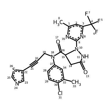 Cc1cc(C(F)(F)F)nc(N2NC(=O)CC2C(=O)N(CC#Cc2cncs2)c2ccc(Cl)c(C)c2)n1